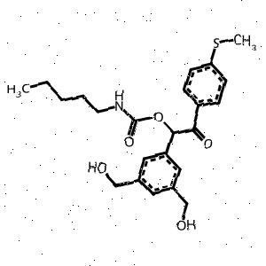 CCCCCNC(=O)OC(C(=O)c1ccc(SC)cc1)c1cc(CO)cc(CO)c1